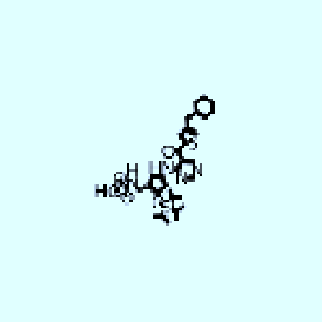 CC(C)[Si](O[C@H]1C[C@H](Nc2ncncc2C(=O)c2cc(CC3=CCCCC3)cs2)C[C@@H]1CNS(=O)(=O)O)(C(C)C)C(C)C